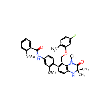 COc1cc(NC(=O)c2ccccc2SC)ccc1-c1ccc2c(c1COc1cc(F)ccc1C)N(C)C(=O)C(C)(C)N2